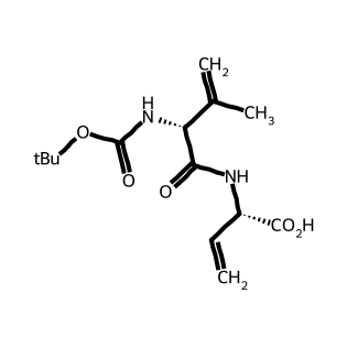 C=C[C@H](NC(=O)[C@H](NC(=O)OC(C)(C)C)C(=C)C)C(=O)O